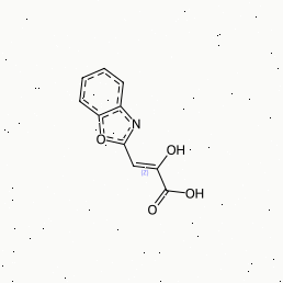 O=C(O)/C(O)=C/c1nc2ccccc2o1